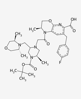 C[C@@H]1CN(CC(=O)N2c3cc(Cc4ccc(F)cc4)c(C(=O)O)nc3OC[C@@H]2C)C(CN2[C@H](C)COC[C@H]2C)CN1C(=O)OC(C)(C)C